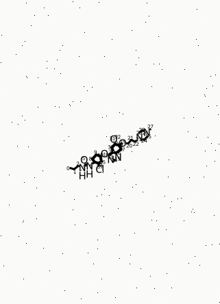 CCCNC(=O)Nc1ccc(Oc2ncnc3cc(OCCCN4CCN(C)CC4)c(OC)cc23)cc1Cl